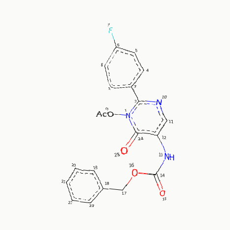 CC(=O)On1c(-c2ccc(F)cc2)ncc(NC(=O)OCc2ccccc2)c1=O